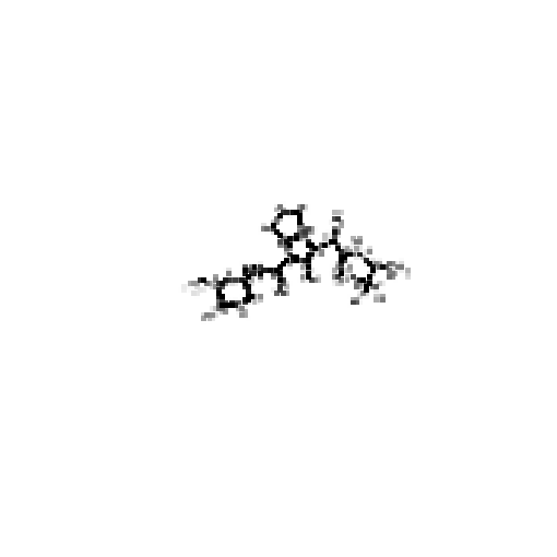 Cc1cc(NC(=O)c2c(Cl)c(C(=O)C(=O)NC(C)C(F)(F)F)n3c2CCC3)cnc1F